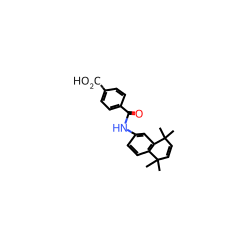 CC1(C)C=CC(C)(C)c2cc(NC(=O)c3ccc(C(=O)O)cc3)ccc21